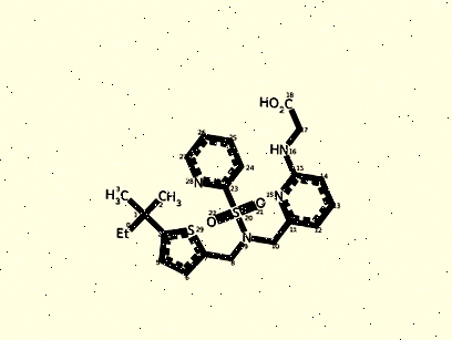 CCC(C)(C)c1ccc(CN(Cc2cccc(NCC(=O)O)n2)S(=O)(=O)c2ccccn2)s1